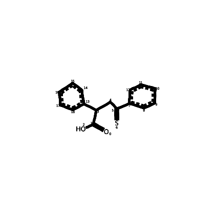 O=C(O)C(CC(=S)c1ccccc1)c1ccccc1